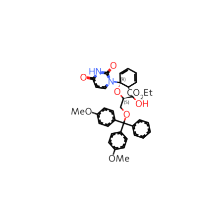 CCOC(=O)C1C=CC=C[C@]1(O[C@@H](CO)COC(c1ccccc1)(c1ccc(OC)cc1)c1ccc(OC)cc1)n1ccc(=O)[nH]c1=O